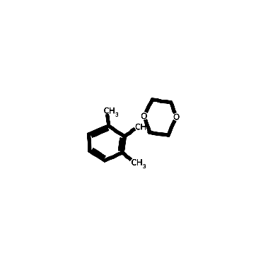 C1COCCO1.Cc1cccc(C)c1C